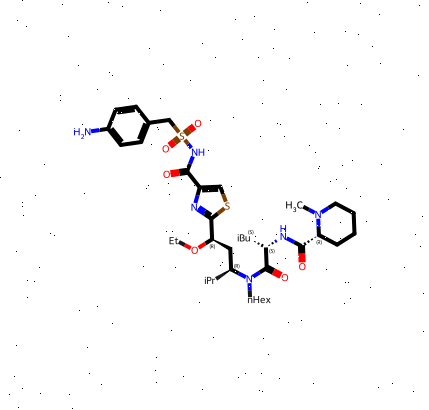 CCCCCCN(C(=O)[C@@H](NC(=O)[C@H]1CCCCN1C)[C@@H](C)CC)[C@H](C[C@@H](OCC)c1nc(C(=O)NS(=O)(=O)Cc2ccc(N)cc2)cs1)C(C)C